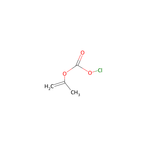 C=C(C)OC(=O)OCl